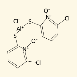 [Cl-].[O-][n+]1c(Cl)cccc1[S][Al+][S]c1cccc(Cl)[n+]1[O-]